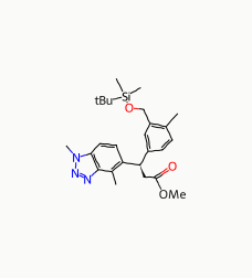 COC(=O)C[C@H](c1ccc(C)c(CO[Si](C)(C)C(C)(C)C)c1)c1ccc2c(nnn2C)c1C